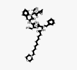 CC(C)C[C@H](NC(=O)[C@H](CCc1ccccc1)NC(=O)CCCCCCCCCN1CCOCC1)C(=O)N[C@@H](Cc1ccccc1)C(=O)N[C@@H](CC(C)C)C(=O)[C@@]1(C)CO1